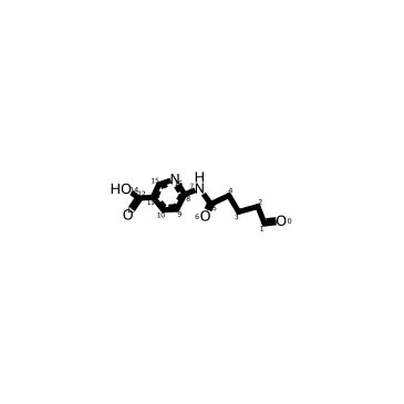 O=CCCCC(=O)Nc1ccc(C(=O)O)cn1